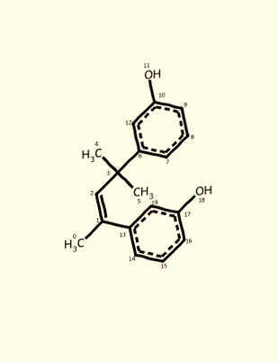 C/C(=C/C(C)(C)c1cccc(O)c1)c1cccc(O)c1